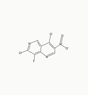 O=[N+]([O-])c1cnc2c(F)c(Cl)ncc2c1Cl